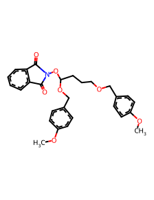 COc1ccc(COCCCC(OCc2ccc(OC)cc2)ON2C(=O)c3ccccc3C2=O)cc1